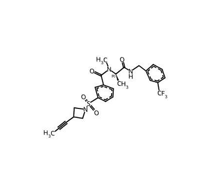 CC#CC1CN(S(=O)(=O)c2cccc(C(=O)N(C)[C@H](C)C(=O)NCc3cccc(C(F)(F)F)c3)c2)C1